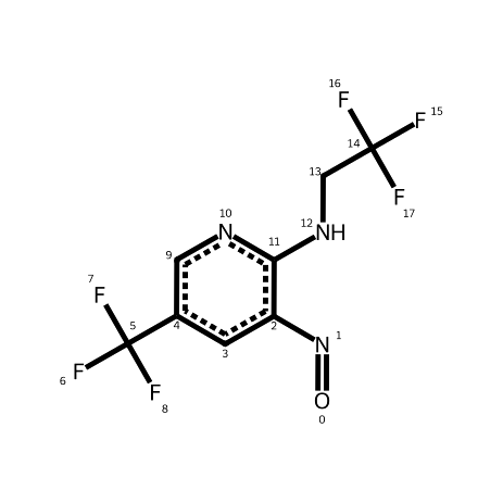 O=Nc1cc(C(F)(F)F)cnc1NCC(F)(F)F